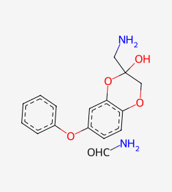 NC=O.NCC1(O)COc2ccc(Oc3ccccc3)cc2O1